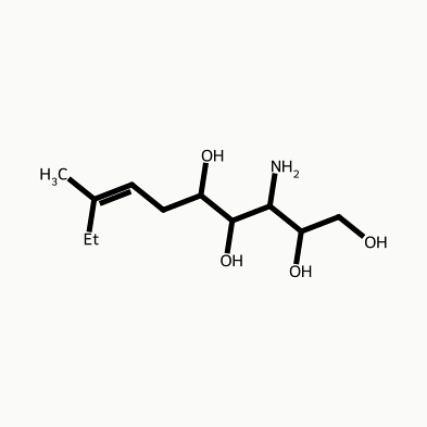 CC/C(C)=C\CC(O)C(O)C(N)C(O)CO